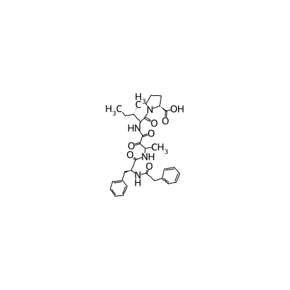 CC[C@H](C)[C@H](NC(=O)C(=O)C(C)NC(=O)[C@H](Cc1ccccc1)NC(=O)Cc1ccccc1)C(=O)N1CCC[C@H]1C(=O)O